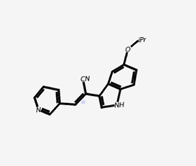 CC(C)Oc1ccc2[nH]cc(/C(C#N)=C/c3cccnc3)c2c1